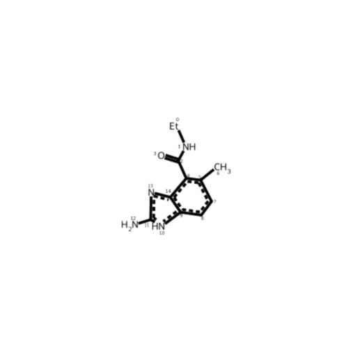 CCNC(=O)c1c(C)ccc2[nH]c(N)nc12